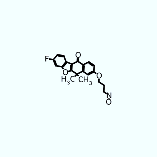 CC1(C)c2cc(OCCCN=O)ccc2C(=O)c2c1oc1cc(F)ccc21